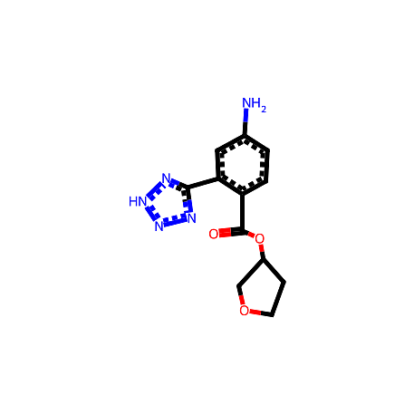 Nc1ccc(C(=O)OC2CCOC2)c(-c2nn[nH]n2)c1